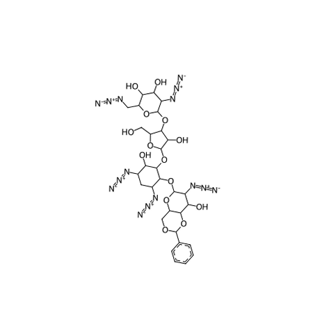 [N-]=[N+]=NCC1OC(OC2C(CO)OC(OC3C(O)C(N=[N+]=[N-])CC(N=[N+]=[N-])C3OC3OC4COC(c5ccccc5)OC4C(O)C3N=[N+]=[N-])C2O)C(N=[N+]=[N-])C(O)C1O